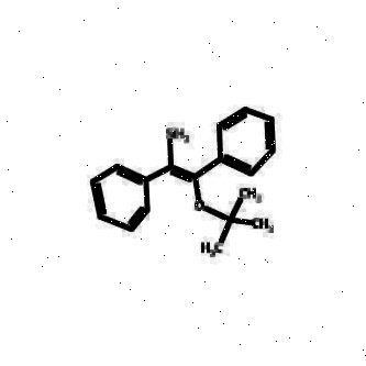 CC(C)(C)OC(=C([SiH3])c1ccccc1)c1ccccc1